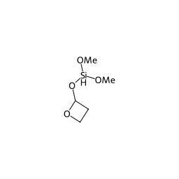 CO[SiH](OC)OC1CCO1